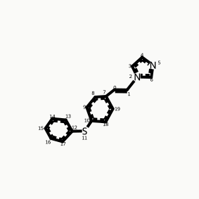 C(=Cn1ccnc1)c1ccc(Sc2ccccc2)cc1